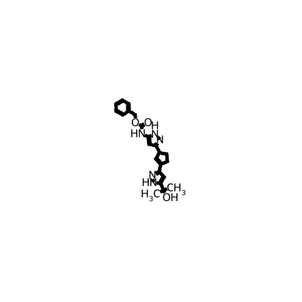 CC(C)(O)c1cc(C2=CC(c3cc(NC(=O)OCc4ccccc4)[nH]n3)CC2)n[nH]1